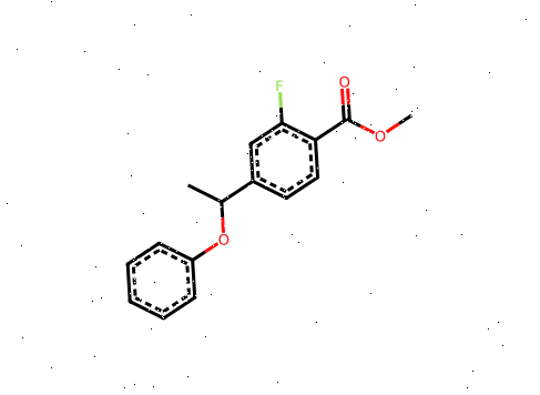 COC(=O)c1ccc(C(C)Oc2ccccc2)cc1F